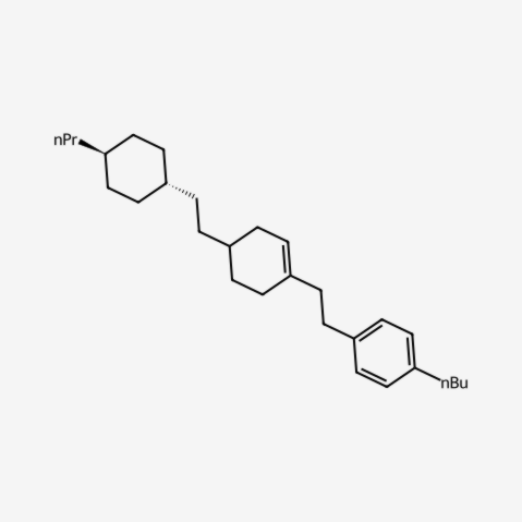 CCCCc1ccc(CCC2=CCC(CC[C@H]3CC[C@H](CCC)CC3)CC2)cc1